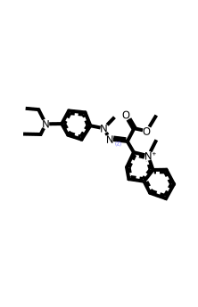 CCN(CC)c1ccc(N(C)/N=C(\C(=O)OC)c2ccc3ccccc3[n+]2C)cc1